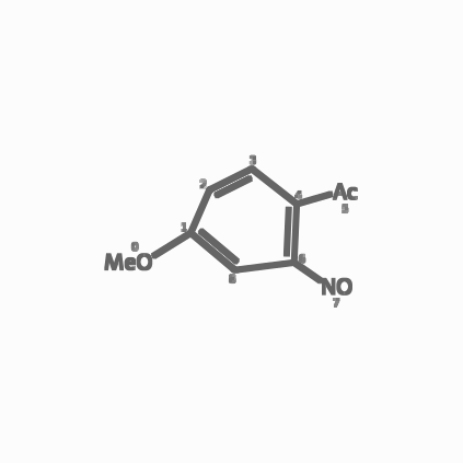 COc1ccc(C(C)=O)c(N=O)c1